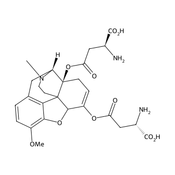 COc1ccc2c3c1OC1C(OC(=O)C[C@H](N)C(=O)O)=CC[C@@]4(OC(=O)C[C@H](N)C(=O)O)[C@@H](C2)N(C)CCC314